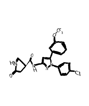 O=C1C[C@H](C(=O)Nc2cc(-c3cccc(OC(F)(F)F)c3)n(-c3ccc(Cl)cc3)n2)CN1